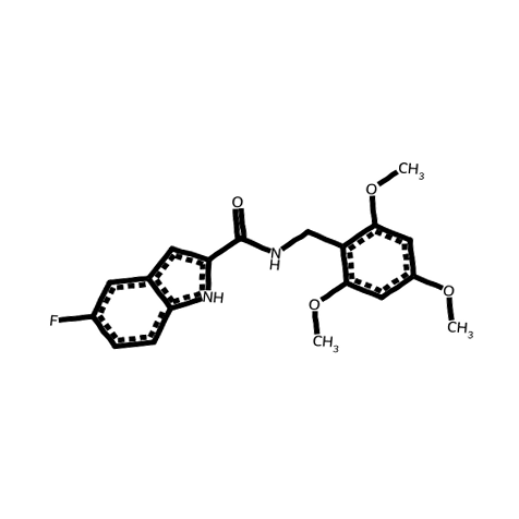 COc1cc(OC)c(CNC(=O)c2cc3cc(F)ccc3[nH]2)c(OC)c1